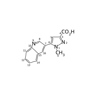 Cn1nc(C(=O)O)cc1-c1cnc2ccccc2c1